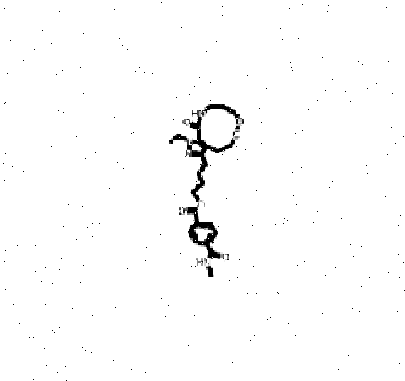 CCn1nc(CCCCOC(=O)c2ccc(C(=O)NC)cc2)c2c1C(=O)NCCCOCCC2